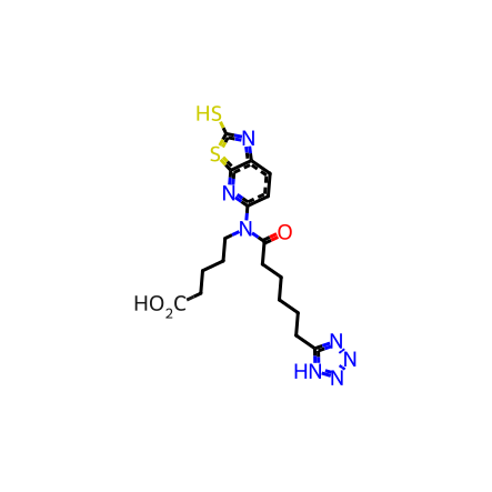 O=C(O)CCCCN(C(=O)CCCCCc1nnn[nH]1)c1ccc2nc(S)sc2n1